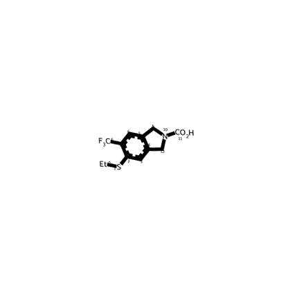 CCSc1cc2c(cc1C(F)(F)F)CN(C(=O)O)C2